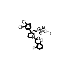 CS(=O)(=O)OCC[C@@]1(c2ccc(Cl)c(Cl)c2)CCCN(C(=O)Cc2c(F)cccc2Cl)C1